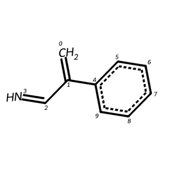 C=C(C=N)c1ccccc1